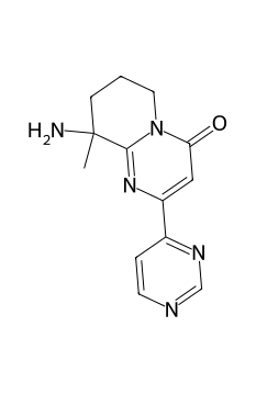 CC1(N)CCCn2c1nc(-c1ccncn1)cc2=O